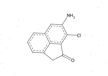 Nc1cc2cccc3c2c(c1Cl)C(=O)C3